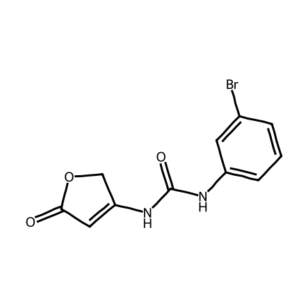 O=C(NC1=CC(=O)OC1)Nc1cccc(Br)c1